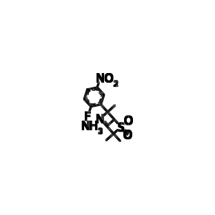 CC1(c2cc([N+](=O)[O-])ccc2F)N=C2C1S(=O)(=O)C2(C)C.N